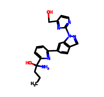 CCCC(N)(O)c1cccc(-c2ccc3cnn(-c4nccc(CO)n4)c3c2)n1